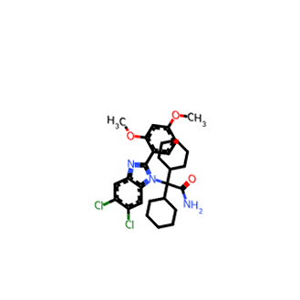 COc1ccc(-c2nc3cc(Cl)c(Cl)cc3n2C(C(N)=O)(C2CCCCC2)C2CCCCC2)c(OC)c1